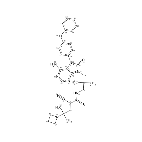 CC(C)(CNC(=O)C(C#N)=CC(C)(C)N1CCC1)Cn1c(=O)n(-c2ccc(Oc3ccccc3)cc2)c2c(N)ncnc21